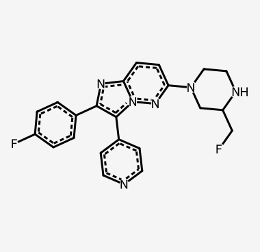 FCC1CN(c2ccc3nc(-c4ccc(F)cc4)c(-c4ccncc4)n3n2)CCN1